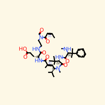 C/C=C\C(=O)N(C=O)CCNC(=O)[C@@H](CCC(=O)O)NC(=O)/C(C)=C/[C@H](C(C)C)N(C)C(=O)[C@@H](NC(=O)[C@@H](NC)C(C)(C)c1ccccc1)C(C)(C)C